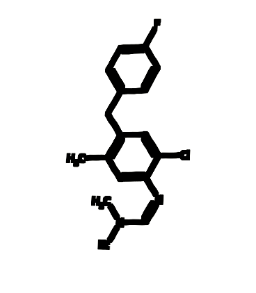 CCN(C)/C=N\c1cc(C)c(Cc2ccc(F)cc2)cc1Cl